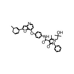 Cc1c(C(=O)Nc2ccc(Oc3ccnc4cc(C5=CC(C)CC=C5)oc34)cc2)c(=O)n(-c2ccccc2)n1CC(C)(C)O